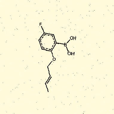 CC=CCOc1ccc(F)cc1B(O)O